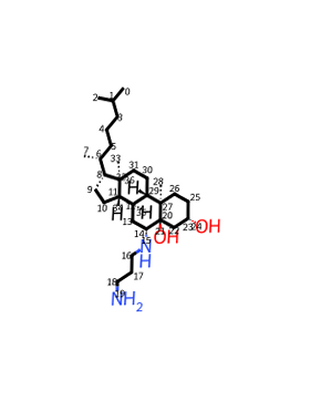 CC(C)CCC[C@@H](C)[C@H]1CC[C@H]2[C@@H]3C[C@@H](NCCCN)[C@@]4(O)C[C@@H](O)CC[C@]4(C)[C@H]3CC[C@]12C